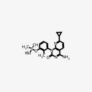 Cc1c(O[Si](C)(C)C(C)(C)C)cccc1-n1c(=O)nc(N)c2ccc(C3CC3)nc21